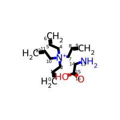 C=CC[N+](CC=C)(CC=C)CC=C.NCC(=O)O